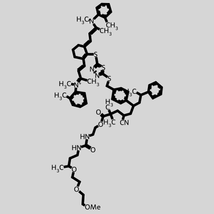 COCCOCCOC(C)CCNC(=O)NCCOC(=O)C(C)(C)CC(C#N)CC(CC(C)c1ccccc1)c1ccc(CSc2nnc(SC3=C(/C=C/C(C)=[N+](\C)c4ccccc4C)CCC/C3=C\C=C(/C)N(C)c3ccccc3C)s2)cc1